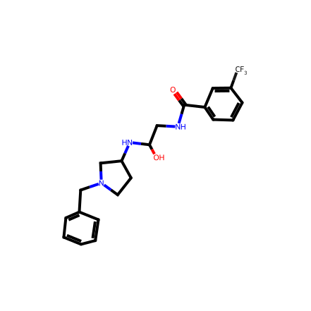 O=C(NCC(O)NC1CCN(Cc2ccccc2)C1)c1cccc(C(F)(F)F)c1